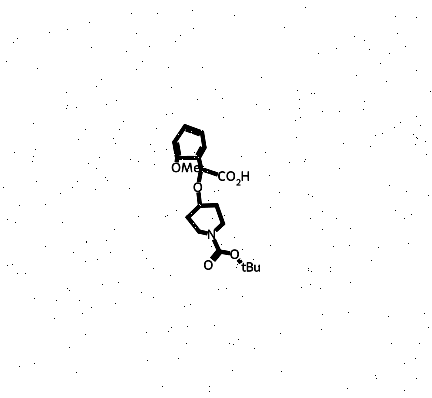 COc1ccccc1C(OC1CCN(C(=O)OC(C)(C)C)CC1)C(=O)O